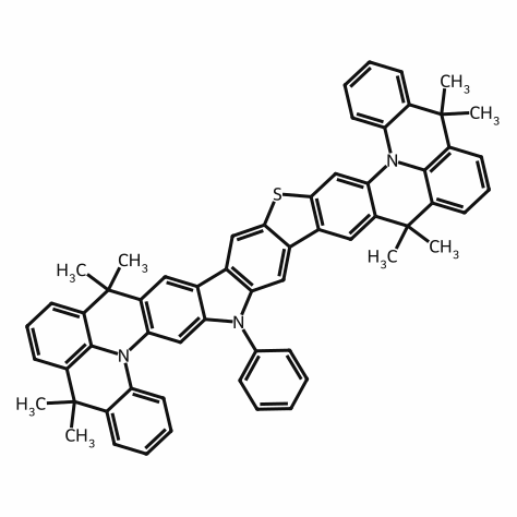 CC1(C)c2ccccc2N2c3cc4sc5cc6c7cc8c(cc7n(-c7ccccc7)c6cc5c4cc3C(C)(C)c3cccc1c32)N1c2ccccc2C(C)(C)c2cccc(c21)C8(C)C